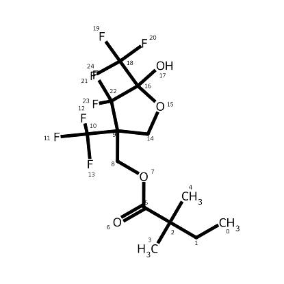 CCC(C)(C)C(=O)OCC1(C(F)(F)F)COC(O)(C(F)(F)F)C1(F)F